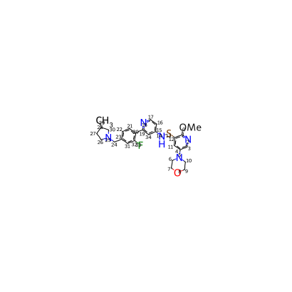 COc1ncc(N2CCOCC2)cc1SNc1ccnc(-c2ccc(CN3CCC(C)C3)cc2F)c1